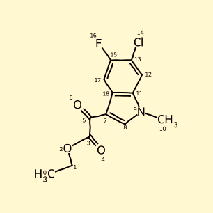 CCOC(=O)C(=O)c1cn(C)c2cc(Cl)c(F)cc12